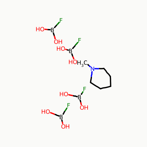 CN1CCCCC1.OB(O)F.OB(O)F.OB(O)F.OB(O)F